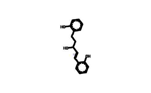 Oc1ccccc1/C=C/C(O)CCc1ccccc1O